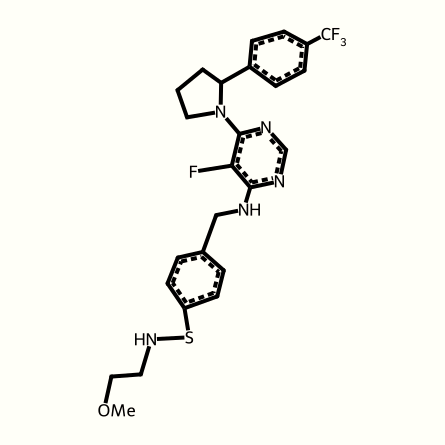 COCCNSc1ccc(CNc2ncnc(N3CCCC3c3ccc(C(F)(F)F)cc3)c2F)cc1